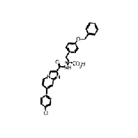 O=C(N[C@@H](Cc1ccc(OCc2ccccc2)cc1)C(=O)O)c1cn2ccc(-c3ccc(Cl)cc3)cc2n1